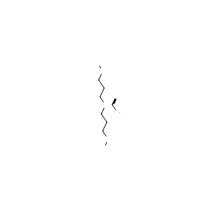 COCCCOCCCOC.O=CO